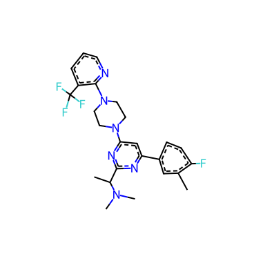 Cc1cc(-c2cc(N3CCN(c4ncccc4C(F)(F)F)CC3)nc(C(C)N(C)C)n2)ccc1F